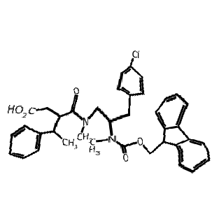 CC(c1ccccc1)C(CC(=O)O)C(=O)N(C)CC(Cc1ccc(Cl)cc1)N(C)C(=O)OCC1c2ccccc2-c2ccccc21